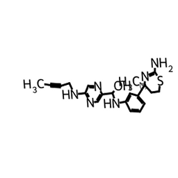 CC#CCNc1cnc(C(O)Nc2cccc([C@]3(C)CCSC(N)=N3)c2)cn1